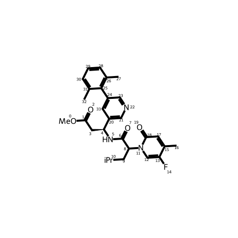 COC(=O)C[C@H](NC(=O)C(CC(C)C)n1cc(F)c(C)cc1=O)c1cncc(-c2c(C)cccc2C)c1